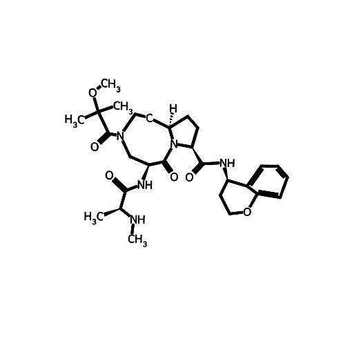 CN[C@@H](C)C(=O)N[C@H]1CN(C(=O)C(C)(C)OC)CC[C@H]2CC[C@@H](C(=O)N[C@@H]3CCOc4ccccc43)N2C1=O